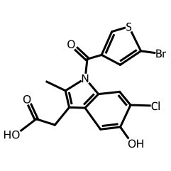 Cc1c(CC(=O)O)c2cc(O)c(Cl)cc2n1C(=O)c1csc(Br)c1